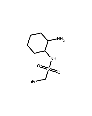 CC(C)CS(=O)(=O)NC1CCCCC1N